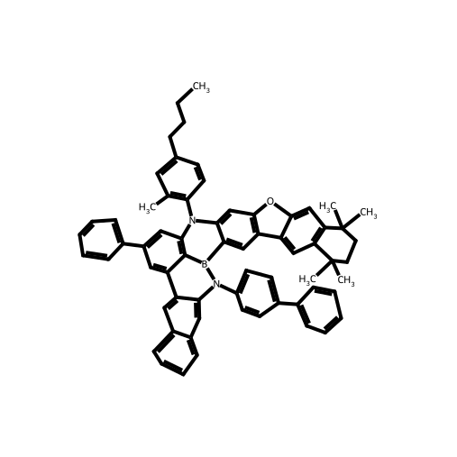 CCCCc1ccc(N2c3cc4oc5cc6c(cc5c4cc3B3c4c(cc(-c5ccccc5)cc42)-c2cc4ccccc4cc2N3c2ccc(-c3ccccc3)cc2)C(C)(C)CCC6(C)C)c(C)c1